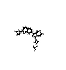 CN(C)CC1CC(c2nc(-c3ccc4ccc(-c5cccs5)nc4c3)c3cnccn23)C1